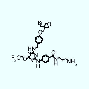 NCCCNC(=O)c1ccc(Nc2nc(NCc3ccc(OCC4(CBr)COC4)cc3)nc(OCC(F)(F)F)n2)cc1